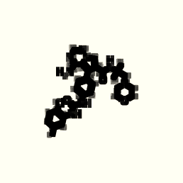 Cc1ccc(Cl)c(NC(=O)Nc2ccc(-c3c(C(=O)NC(C)(C)CN4CCOCC4)cn4ncnc(N)c34)cc2)c1